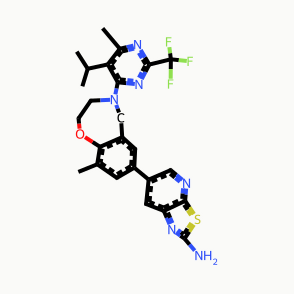 Cc1cc(-c2cnc3sc(N)nc3c2)cc2c1OCCN(c1nc(C(F)(F)F)nc(C)c1C(C)C)C2